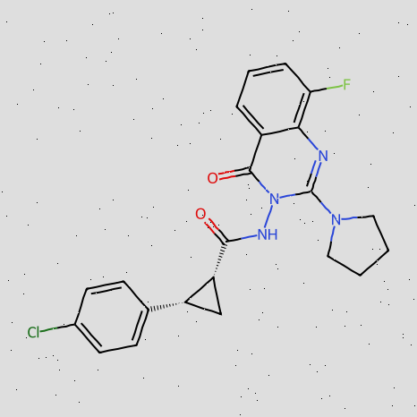 O=C(Nn1c(N2CCCC2)nc2c(F)cccc2c1=O)[C@@H]1C[C@@H]1c1ccc(Cl)cc1